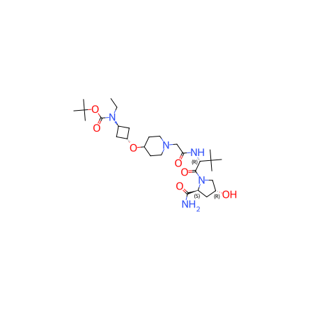 CCN(C(=O)OC(C)(C)C)[C@H]1C[C@H](OC2CCN(CC(=O)N[C@@H](C(=O)N3C[C@H](O)C[C@H]3C(N)=O)C(C)(C)C)CC2)C1